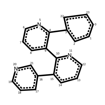 c1ccc(-c2ncccc2-c2ncccc2-c2cccnc2)cc1